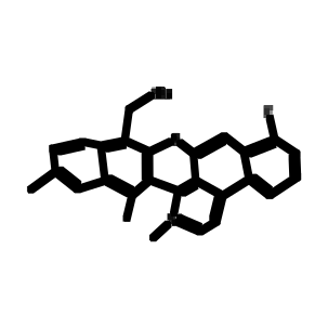 Cc1ccc2c(CC(C)(C)C)c3c(c(C)c2c1)-c1c2c(cc4c(F)cccc4c2cc[n+]1C)S3